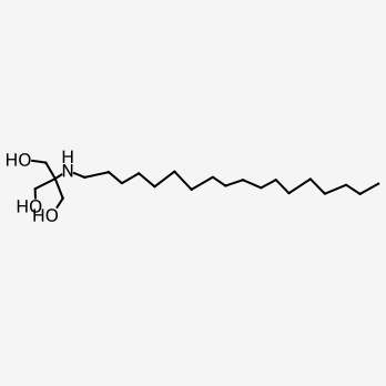 CCCCCCCCCCCCCCCCCCNC(CO)(CO)CO